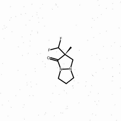 C[C@@]1(C(F)F)CN2CCCN2C1=O